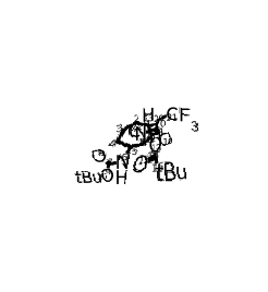 C[C@H]1CC2CC(NC(=O)OC(C)(C)C)C([C@H]1OC(=O)C(C)(C)C)N(C(=O)CC(F)(F)F)C2